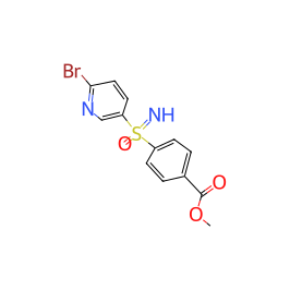 COC(=O)c1ccc(S(=N)(=O)c2ccc(Br)nc2)cc1